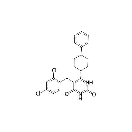 O=c1[nH]c(=O)c(Cc2ccc(Cl)cc2Cl)c([C@H]2CC[C@H](c3ccccc3)CC2)[nH]1